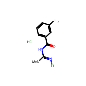 CNC(=NCl)NC(=O)c1cccc(C(F)(F)F)c1.Cl